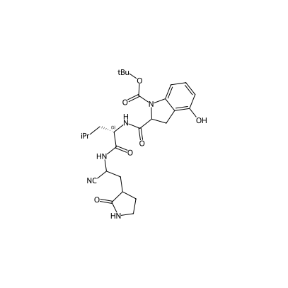 CC(C)C[C@H](NC(=O)C1Cc2c(O)cccc2N1C(=O)OC(C)(C)C)C(=O)NC(C#N)CC1CCNC1=O